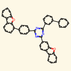 c1ccc(-c2cccc(-c3nc(-c4ccc(-c5cccc6c5oc5ccccc56)cc4)nc(-c4ccc5c(c4)oc4ccccc45)n3)c2)cc1